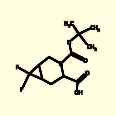 CC(C)(C)OC(=O)N1CC2C(CC1C(=O)O)C2(F)F